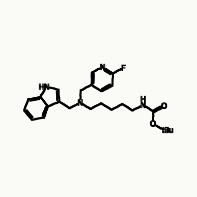 CC(C)(C)OC(=O)NCCCCCN(Cc1ccc(F)nc1)Cc1c[nH]c2ccccc12